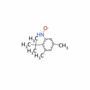 Cc1cc(C)c(C(C)(C)C)c(N[O])c1